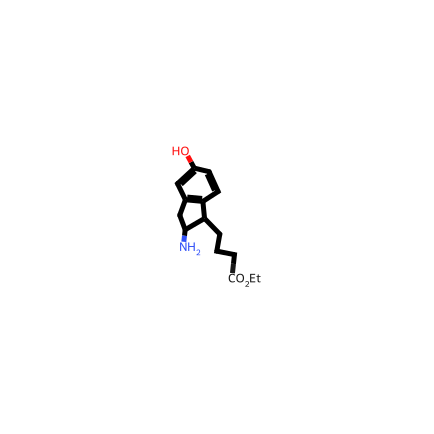 CCOC(=O)CCCC1c2ccc(O)cc2CC1N